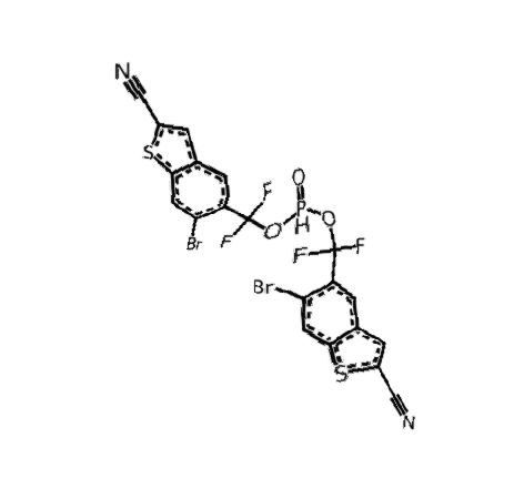 N#Cc1cc2cc(C(F)(F)O[PH](=O)OC(F)(F)c3cc4cc(C#N)sc4cc3Br)c(Br)cc2s1